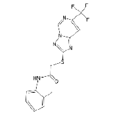 Cc1ccccc1NC(=O)CSc1nc2cc(C(F)(F)F)ncn2n1